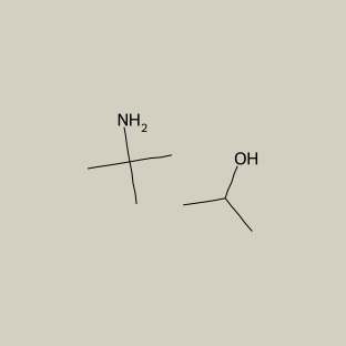 CC(C)(C)N.CC(C)O